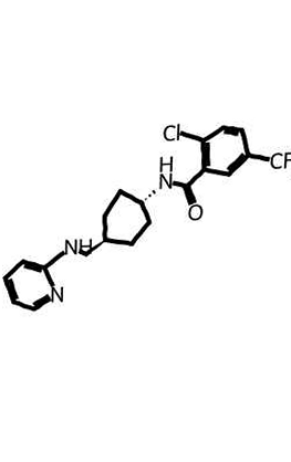 O=C(N[C@H]1CC[C@H](CNc2ccccn2)CC1)c1cc(C(F)(F)F)ccc1Cl